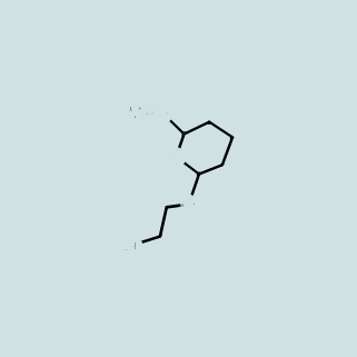 COC1CCCC(OCCBr)O1